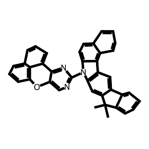 CC1(C)c2ccccc2-c2cc3c4c5ccccc5ccc4n(-c4ncc5c(n4)-c4cccc6cccc(c46)O5)c3cc21